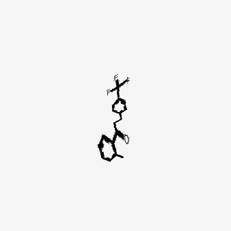 Cc1ccccc1C(=O)CCc1ccc(C(F)(F)F)cc1